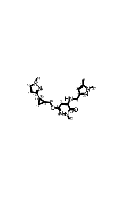 Cc1cc(CNc2cc(OCC3C[C@H]3c3ccn(C)n3)nn(C)c2=O)nn1C